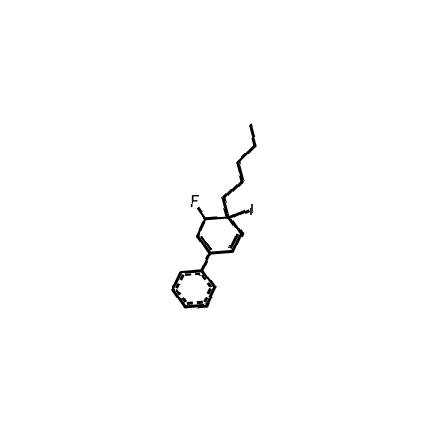 CCCCCC1(I)C=CC(c2ccccc2)=CC1F